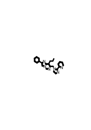 CCCc1c(Cn2ccnc2-c2ccccn2)ncn2cc(-c3ccccc3)nc12